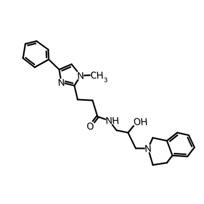 Cn1cc(-c2ccccc2)nc1CCC(=O)NCC(O)CN1CCc2ccccc2C1